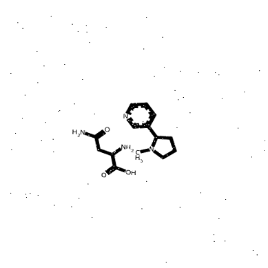 CN1CCCC1c1cccnc1.NC(=O)CC(N)C(=O)O